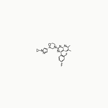 Cc1cc2c(-c3ccc(F)cc3F)nc(N3CCO[C@@H](c4cnn(C5CC5)c4)C3)nc2nc1C